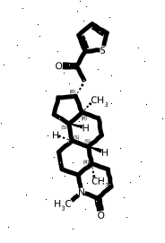 CN1C(=O)CC[C@@]2(C)C1CC[C@H]1[C@@H]3CC[C@H](CC(=O)c4cccs4)[C@@]3(C)CC[C@@H]12